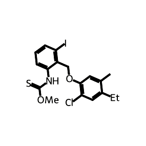 CCc1cc(Cl)c(OCc2c(I)cccc2NC(=S)OC)cc1C